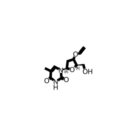 C=COC1C[C@H](n2cc(C)c(=O)[nH]c2=O)O[C@@H]1CO